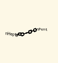 CCCCCCCOc1ccc2cc(C#Cc3ccc(C4CCC(CCCCC)CC4)cc3)ccc2c1